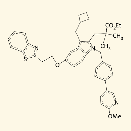 CCOC(=O)C(C)(C)Cc1c(CC2CCC2)c2cc(OCCc3nc4ccccc4s3)ccc2n1Cc1ccc(-c2ccc(OC)nc2)cc1